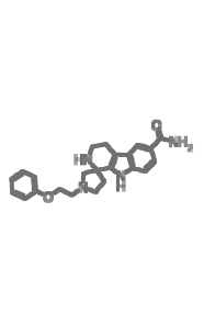 NC(=O)c1ccc2[nH]c3c(c2c1)CCNC31CCN(CCOc2ccccc2)C1